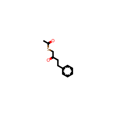 CC(=O)SCC(=O)CCc1ccccc1